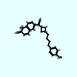 CC(C)c1ccc(CCCCN2CC(C(=O)c3ccc4[nH]c(=O)ccc4c3)C2)cc1